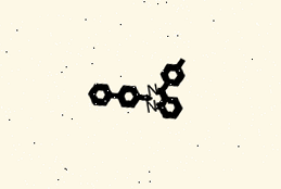 Cc1ccc(-c2nc(-c3ccc(-c4ccccc4)cc3)nc3ccccc23)cc1